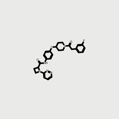 O=C(Nc1ccc(OC2CCN(C(=O)Cc3cccc(F)c3)CC2)cc1)C1CCN1c1cccnn1